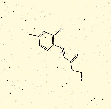 CCOC(=O)/C=C/c1ccc(C)cc1Br